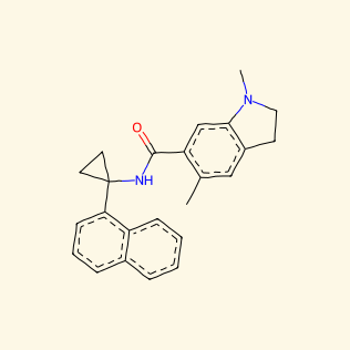 Cc1cc2c(cc1C(=O)NC1(c3cccc4ccccc34)CC1)N(C)CC2